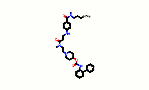 CNCCCN(C)C(=O)c1ccc(NCCC(=O)N(C)CCN2CCC(OC(=O)Nc3ccccc3-c3ccccc3)CC2)cc1